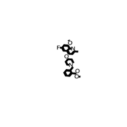 COC(=O)c1ccccc1CN1CCC(Oc2cc(C)nc3c(OC)cc(F)cc23)CC1